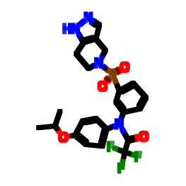 CC(C)Oc1ccc(N(C(=O)C(F)(F)F)c2cccc(S(=O)(=O)N3CCc4[nH]ncc4C3)c2)cc1